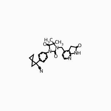 CC1(C)C(=O)N(c2ccc(C3(C#N)CC34CC4)cc2)C(=O)N1Cc1ccnc2c1CC(=O)N2